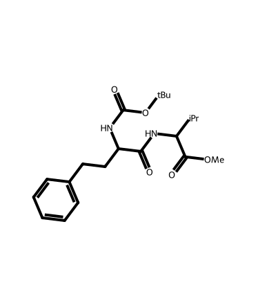 COC(=O)C(NC(=O)C(CCc1ccccc1)NC(=O)OC(C)(C)C)C(C)C